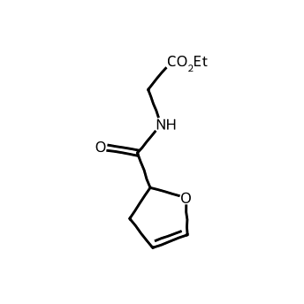 CCOC(=O)CNC(=O)C1CC=CO1